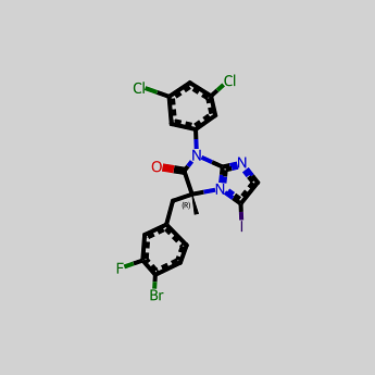 C[C@@]1(Cc2ccc(Br)c(F)c2)C(=O)N(c2cc(Cl)cc(Cl)c2)c2ncc(I)n21